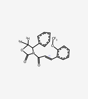 [2H]C1([2H])OC(=O)N(C(=O)/C=C/c2ccccc2OC(F)(F)F)C1c1ccccc1